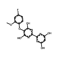 COc1cc(F)ccc1Oc1c(O)nc(-c2nc(O)cc(O)n2)nc1O